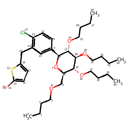 CCCCOC[C@H]1O[C@@H](c2ccc(Cl)c(Cc3ccc(Br)s3)c2)[C@H](OCCCC)[C@@H](OCCCC)[C@@H]1OCCCC